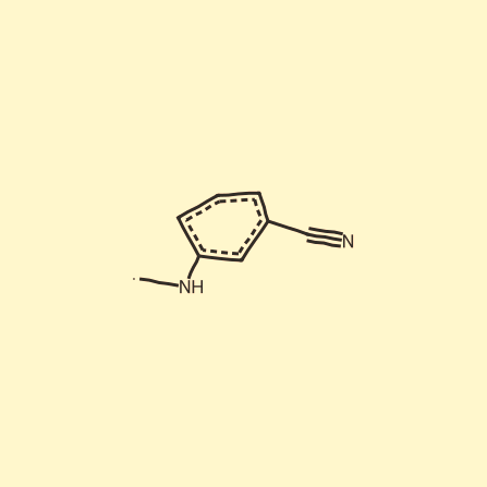 [CH2]Nc1cccc(C#N)c1